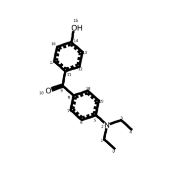 CCN(CC)c1ccc(C(=O)c2ccc(O)cc2)cc1